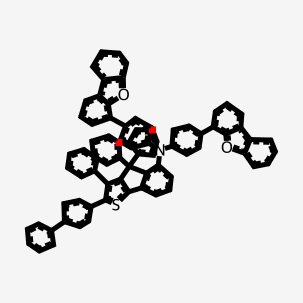 c1ccc(-c2ccc(-c3sc4c(c3-c3ccccc3)C(c3ccccc3)(c3ccccc3)c3c-4cccc3N(c3ccc(-c4cccc5c4oc4ccccc45)cc3)c3ccc(-c4cccc5c4oc4ccccc45)cc3)cc2)cc1